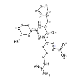 Br.N=C(N)NCCCC(/C=C/C(=O)O)NC(=O)C(Cc1ccccc1)NC(=O)N1CCOCC1